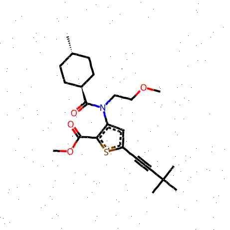 COCCN(c1cc(C#CC(C)(C)C)sc1C(=O)OC)C(=O)[C@H]1CC[C@H](C)CC1